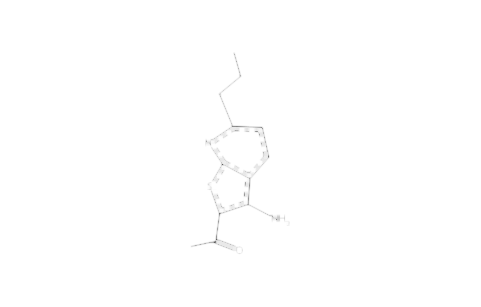 CCCc1ccc2c(N)c(C(C)=O)sc2n1